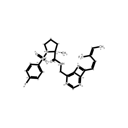 C/C=C(\C=C/C1=Nc2c(CNC(=O)[C@]3(C)CCCN3S(=O)(=O)c3ccc(F)cc3)ncnc21)C(F)(F)F